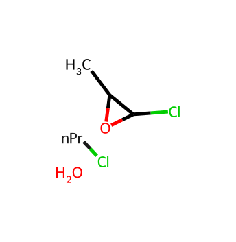 CC1OC1Cl.CCCCl.O